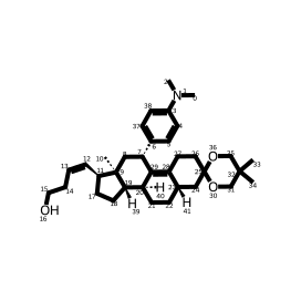 CN(C)c1ccc([C@H]2C[C@]3(C)[C@H](/C=C\CCO)CC[C@H]3[C@@H]3CC[C@H]4CC5(CCC4=C32)OCC(C)(C)CO5)cc1